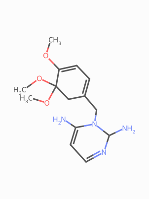 COC1=CC=C(CN2C(N)=CC=NC2N)CC1(OC)OC